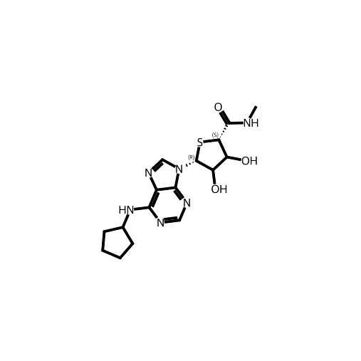 CNC(=O)[C@H]1S[C@@H](n2cnc3c(NC4CCCC4)ncnc32)C(O)C1O